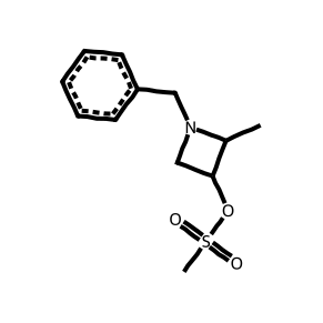 CC1C(OS(C)(=O)=O)CN1Cc1ccccc1